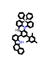 Cc1cc(C)c(-c2cc(-c3cccc4c3[nH]c3c5ccccc5ccc43)c3c(c2)N2c4ccccc4[Si](c4ccccc4)(C4C=CC=CC4)c4cccc(c42)B3)c(C)c1